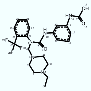 CCN1CCN(CN(C(=O)Nc2cccc(NC(=O)O)c2)c2ccccc2C(F)(F)F)CC1